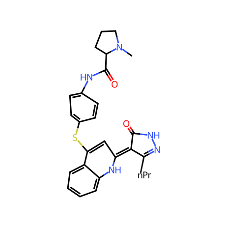 CCCC1=NNC(=O)C1=C1C=C(Sc2ccc(NC(=O)C3CCCN3C)cc2)c2ccccc2N1